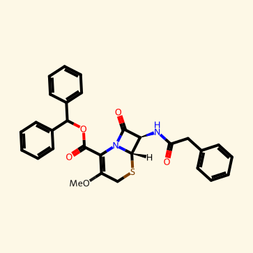 COC1=C(C(=O)OC(c2ccccc2)c2ccccc2)N2C(=O)[C@@H](NC(=O)Cc3ccccc3)[C@@H]2SC1